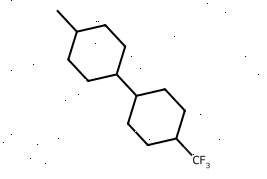 CC1CCC(C2CCC(C(F)(F)F)CC2)CC1